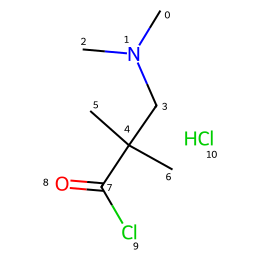 CN(C)CC(C)(C)C(=O)Cl.Cl